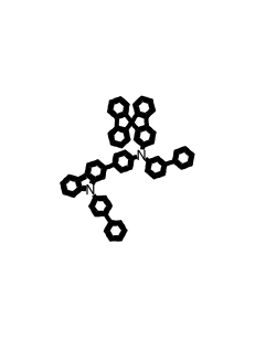 c1ccc(-c2ccc(-n3c4ccccc4c4ccc(-c5ccc(N(c6cccc(-c7ccccc7)c6)c6ccc7c(c6)C6(c8ccccc8-c8ccccc86)c6ccccc6-7)cc5)cc43)cc2)cc1